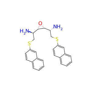 N[C@H](CSc1ccc2ccccc2c1)[C@@H]1O[C@@H]1[C@H](N)CSc1ccc2ccccc2c1